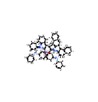 c1ccc(N(c2ccccc2)c2cc3ccccc3c3c4cc5ccccc5c5c6c7c8cccc9c%10cccc(N(c%11ccccc%11)c%11ccccc%11)c%10n(c7ncc6n(c23)c45)c98)cc1